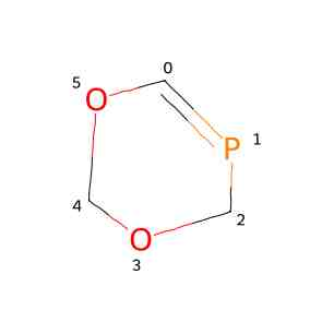 C1=PCOCO1